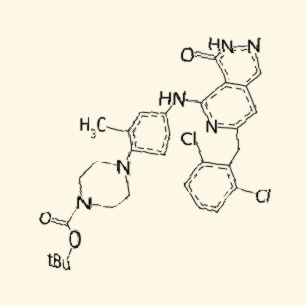 Cc1cc(Nc2nc(Cc3c(Cl)cccc3Cl)cc3cn[nH]c(=O)c23)ccc1N1CCN(C(=O)OC(C)(C)C)CC1